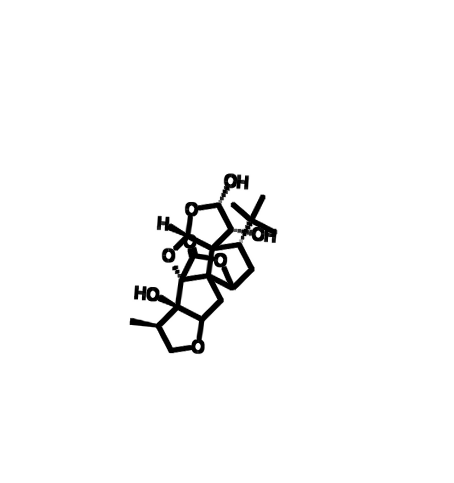 C[C@@H]1COC2CC34C5C[C@@H](C(C)(C)C)C36[C@@H](O[C@H](O)[C@@H]6O)O[C@@]4(C(=O)O5)[C@]21O